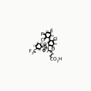 O=C(O)CC[C@H]1CN(S(=O)(=O)c2cccc(C(F)(F)F)c2)c2cc(-c3cc(F)cc(F)c3Cl)c(Cl)cc2O1